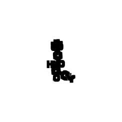 COc1ccc(NC(=O)c2ccc(B3OC(C)(C)C(C)(C)O3)cc2)cc1C1CCN(C(C)C)CC1